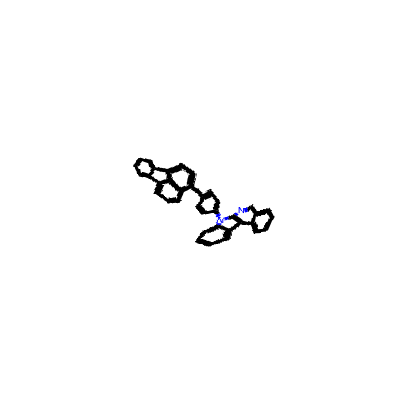 c1ccc2c(c1)-c1cccc3c(-c4ccc(-n5c6ccccc6c6c7ccccc7cnc65)cc4)ccc-2c13